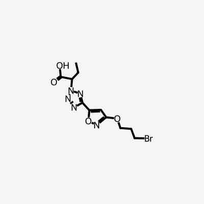 CCC(C(=O)O)n1nnc(-c2cc(OCCCBr)no2)n1